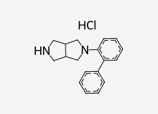 Cl.c1ccc(-c2ccccc2N2CC3CNCC3C2)cc1